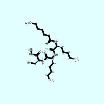 CCCCCCCCCCCCCCCC(=O)N[C@@H](CCCCN)C(=O)N[C@@H](CCCCN)C(=O)N[C@@H](CC(C)C)C(=O)NC(C)C